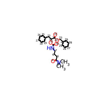 CN(C)C(=O)CCCNC(=O)OC(Cc1ccccc1)C(=O)OCc1ccccc1